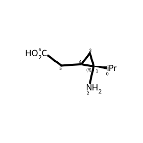 CC(C)[C@]1(N)CC1CC(=O)O